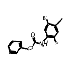 Cc1cc(F)c(NC(=O)Oc2ccccc2)cc1Br